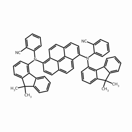 CC1(C)c2ccccc2-c2c(N(c3ccccc3C#N)c3ccc4ccc5c(N(c6ccccc6C#N)c6cccc7c6-c6ccccc6C7(C)C)ccc6ccc3c4c65)cccc21